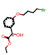 CCOC(=O)[C@H](O)c1cccc(OCCCCBr)c1